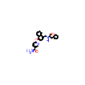 NC(=O)c1ccc(Oc2ccc(CN[C@H]3COC4(CCCC4)C3)c3ccccc23)nc1